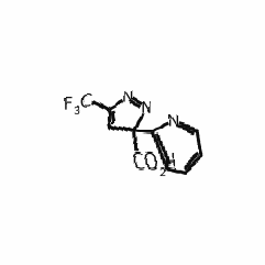 O=C(O)C1(c2ccccn2)C=C(C(F)(F)F)N=N1